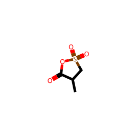 CC1CS(=O)(=O)OC1=O